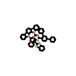 c1ccc(-c2ccc(-c3nc(-c4ccccc4)nc(-n4c5ccccc5c5ccc6c7ccccc7n(-c7ccc(-c8nc9ccccc9s8)cc7)c6c54)n3)c(-c3ccccc3)c2)cc1